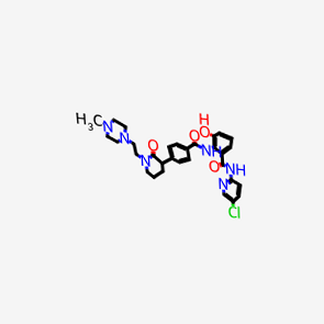 CN1CCN(CCN2CCCC(c3ccc(C(=O)Nc4c(O)cccc4C(=O)Nc4ccc(Cl)cn4)cc3)C2=O)CC1